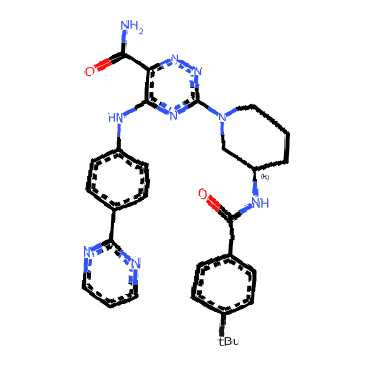 CC(C)(C)c1ccc(C(=O)N[C@@H]2CCCN(c3nnc(C(N)=O)c(Nc4ccc(-c5ncccn5)cc4)n3)C2)cc1